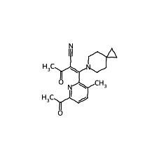 CC(=O)/C(C#N)=C(\c1nc(C(C)=O)ccc1C)N1CCC2(CC1)CC2